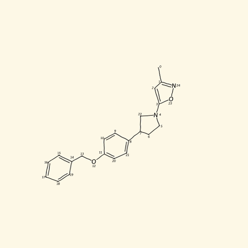 Cc1cc(N2CCC(c3ccc(OCc4ccccc4)cc3)C2)on1